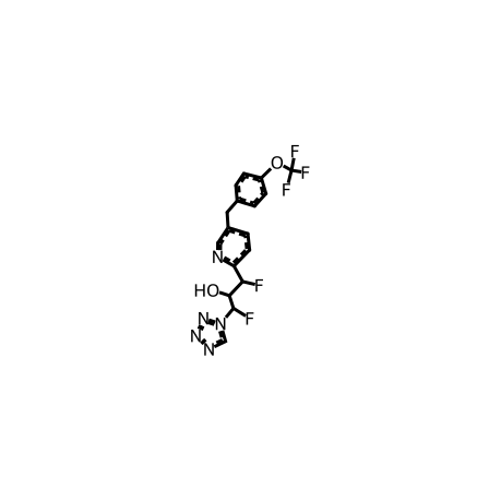 OC(C(F)c1ccc(Cc2ccc(OC(F)(F)F)cc2)cn1)C(F)n1cnnn1